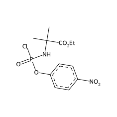 CCOC(=O)C(C)(C)NP(=O)(Cl)Oc1ccc([N+](=O)[O-])cc1